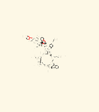 CC(=O)NCCCC[C@@H]1NC(=O)[C@H](Cc2c[nH]c3cccc(F)c23)NC(=O)[C@H]([C@@H](C)O)NC(=O)[C@H](CC(N)=O)NC(=O)[C@@H](NC(C)=O)C(C)(C)SSC(C)(C)[C@@H](C(=O)N[C@@H](Cc2ccc(OCCN)cc2)C(=O)N[C@@H](Cc2ccc3ccccc3c2)C(=O)NC2(C(=O)N[C@@H](CCC(=O)O)C(=O)N[C@@H](CC(N)=O)C(=O)N[C@@H](Cc3cccnc3)C(=O)N(C)CC(N)=O)CCOCC2)NC1=O